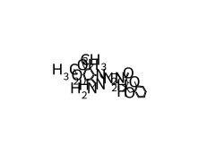 [2H]c1c(OC)c(OC)c([2H])c2c(N)nc(N3CCN(C(=O)C4Oc5ccccc5OC4([2H])[2H])CC3)nc12